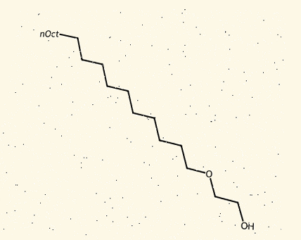 CCC[CH]CCCCCCCCCCCCCCOCCO